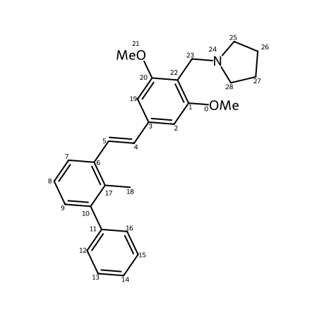 COc1cc(/C=C/c2cccc(-c3ccccc3)c2C)cc(OC)c1CN1CCCC1